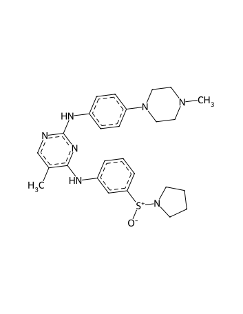 Cc1cnc(Nc2ccc(N3CCN(C)CC3)cc2)nc1Nc1cccc([S+]([O-])N2CCCC2)c1